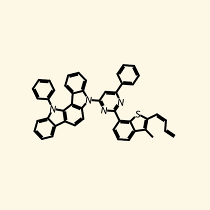 C=C/C=C\c1sc2c(-c3nc(-c4ccccc4)cc(-n4c5ccccc5c5c4ccc4c6ccccc6n(-c6ccccc6)c45)n3)cccc2c1C